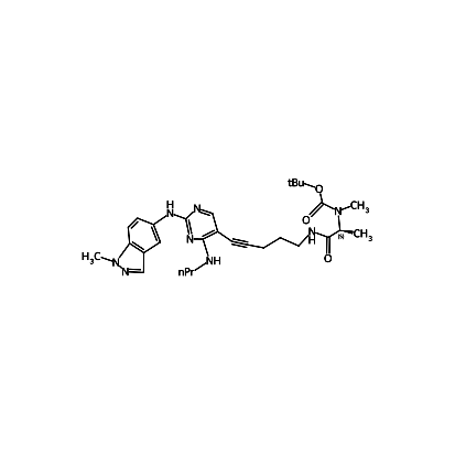 CCCNc1nc(Nc2ccc3c(cnn3C)c2)ncc1C#CCCCNC(=O)[C@H](C)N(C)C(=O)OC(C)(C)C